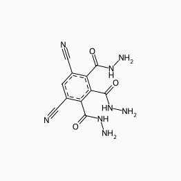 N#Cc1cc(C#N)c(C(=O)NN)c(C(=O)NN)c1C(=O)NN